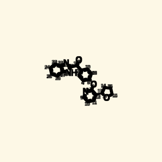 O=C(c1ccc(Oc2ncccc2[C@H]2CCCO2)cc1)c1nc2ccccc2[nH]1